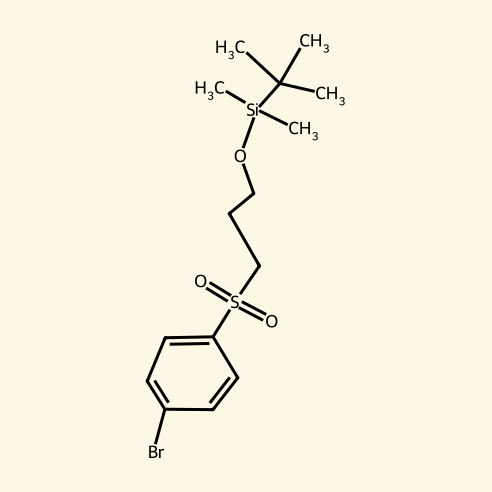 CC(C)(C)[Si](C)(C)OCCCS(=O)(=O)c1ccc(Br)cc1